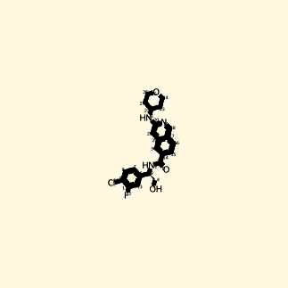 O=C(N[C@H](CO)c1ccc(Cl)c(F)c1)c1ccc2cnc(NC3CCOCC3)cc2c1